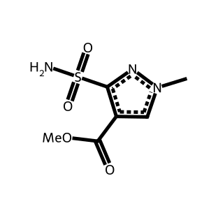 COC(=O)c1cn(C)nc1S(N)(=O)=O